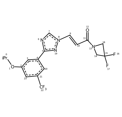 CC(C)Oc1cc(-c2ncn(C=CC(=O)N3CC(F)(F)C3)n2)cc(C(F)(F)F)c1